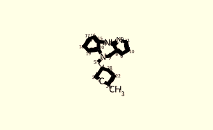 C[C@H]1CC[C@H](CN2Cc3cccnc3Nc3ccccc32)CC1